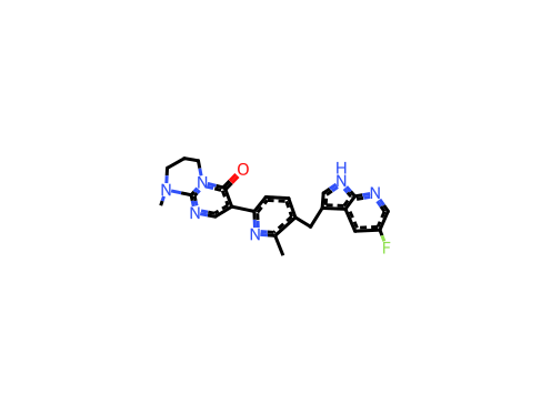 Cc1nc(-c2cnc3n(c2=O)CCCN3C)ccc1Cc1c[nH]c2ncc(F)cc12